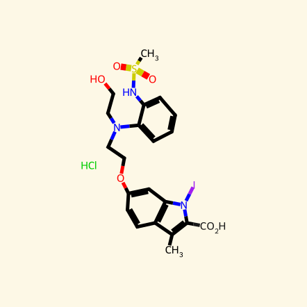 Cc1c(C(=O)O)n(I)c2cc(OCCN(CCO)c3ccccc3NS(C)(=O)=O)ccc12.Cl